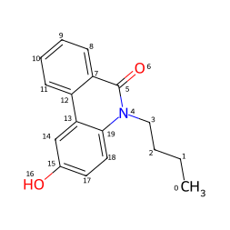 CCCCn1c(=O)c2ccccc2c2cc(O)ccc21